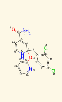 NC(=O)C1=CC(Cc2ccc(Cl)cc2Cl)(Oc2ccccn2)NC=C1